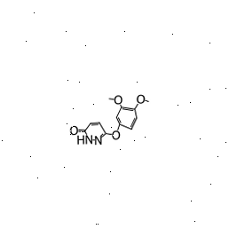 COc1ccc(Oc2ccc(=O)[nH]n2)cc1OC